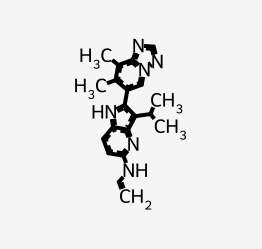 C=CNc1ccc2[nH]c(-c3cn4ncnc4c(C)c3C)c(C(C)C)c2n1